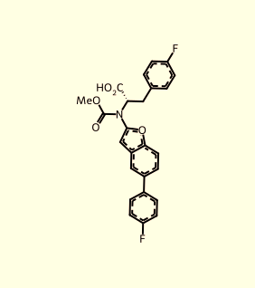 COC(=O)N(c1cc2cc(-c3ccc(F)cc3)ccc2o1)[C@@H](Cc1ccc(F)cc1)C(=O)O